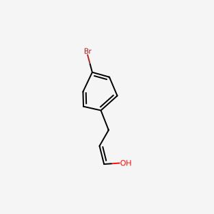 O/C=C\Cc1ccc(Br)cc1